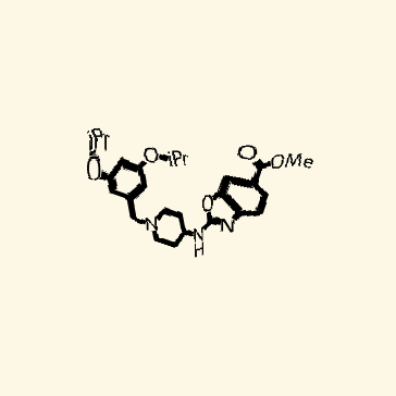 COC(=O)c1ccc2nc(NC3CCN(Cc4cc(OC(C)C)cc(OC(C)C)c4)CC3)oc2c1